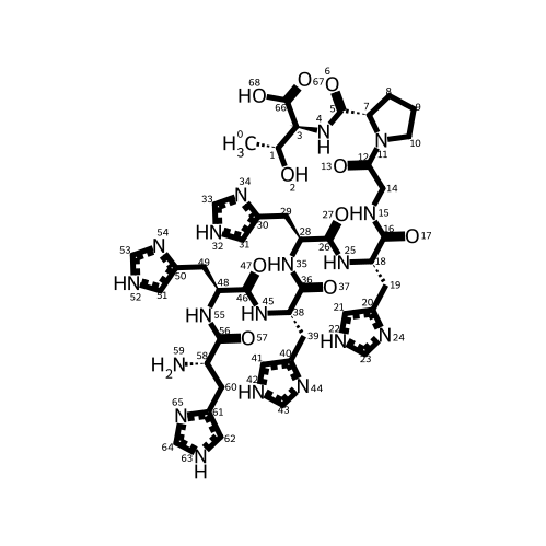 C[C@@H](O)[C@H](NC(=O)[C@@H]1CCCN1C(=O)CNC(=O)[C@H](Cc1c[nH]cn1)NC(=O)[C@H](Cc1c[nH]cn1)NC(=O)[C@H](Cc1c[nH]cn1)NC(=O)[C@H](Cc1c[nH]cn1)NC(=O)[C@@H](N)Cc1c[nH]cn1)C(=O)O